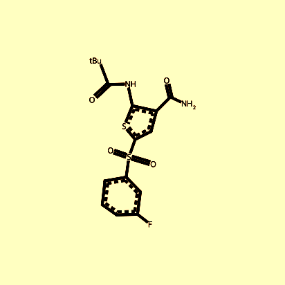 CC(C)(C)C(=O)Nc1sc(S(=O)(=O)c2cccc(F)c2)cc1C(N)=O